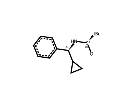 CC(C)(C)[S@@+]([O-])N[C@H](c1ccccc1)C1CC1